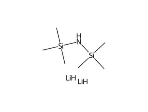 C[Si](C)(C)N[Si](C)(C)C.[LiH].[LiH]